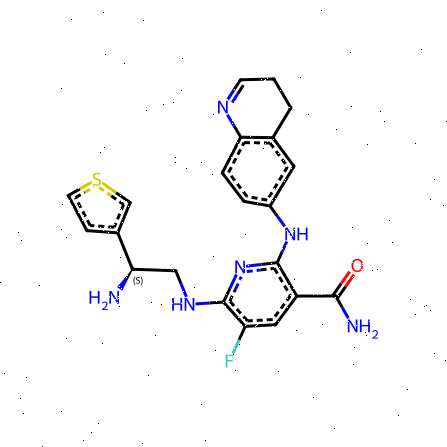 NC(=O)c1cc(F)c(NC[C@@H](N)c2ccsc2)nc1Nc1ccc2c(c1)CCC=N2